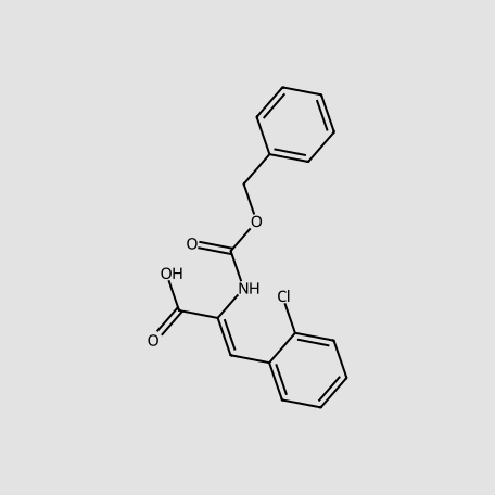 O=C(NC(=Cc1ccccc1Cl)C(=O)O)OCc1ccccc1